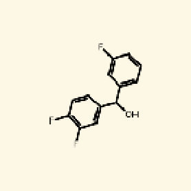 OC(c1cccc(F)c1)c1ccc(F)c(F)c1